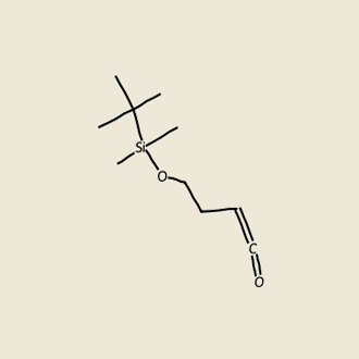 CC(C)(C)[Si](C)(C)OCCC=C=O